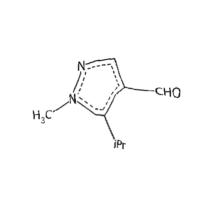 CC(C)c1c(C=O)cnn1C